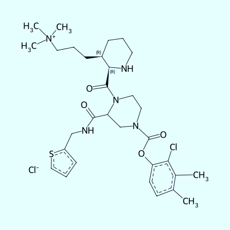 Cc1ccc(OC(=O)N2CCN(C(=O)[C@@H]3NCCC[C@@H]3CCC[N+](C)(C)C)C(C(=O)NCc3cccs3)C2)c(Cl)c1C.[Cl-]